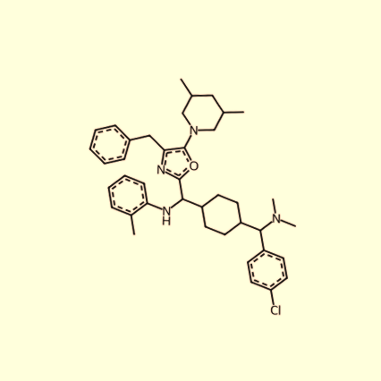 Cc1ccccc1NC(c1nc(Cc2ccccc2)c(N2CC(C)CC(C)C2)o1)C1CCC(C(c2ccc(Cl)cc2)N(C)C)CC1